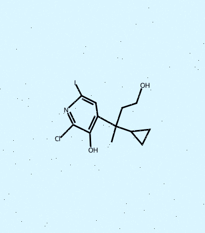 CC(CCO)(c1cc(I)nc(Cl)c1O)C1CC1